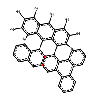 [2H]c1c([2H])c([2H])c2c(-c3cccc4ccccc34)c3c(-c4cccc5c6ccccc6c6ccccc6c45)c([2H])c([2H])c([2H])c3c([2H])c2c1[2H]